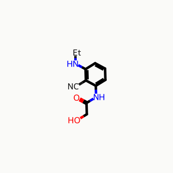 CCNc1cccc(NC(=O)CO)c1C#N